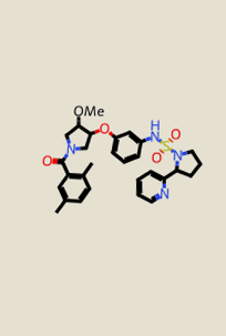 COC1CN(C(=O)c2cc(C)ccc2C)CC1Oc1cccc(NS(=O)(=O)N2CCCC2c2ccccn2)c1